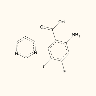 Nc1cc(F)c(I)cc1C(=O)O.c1cncnc1